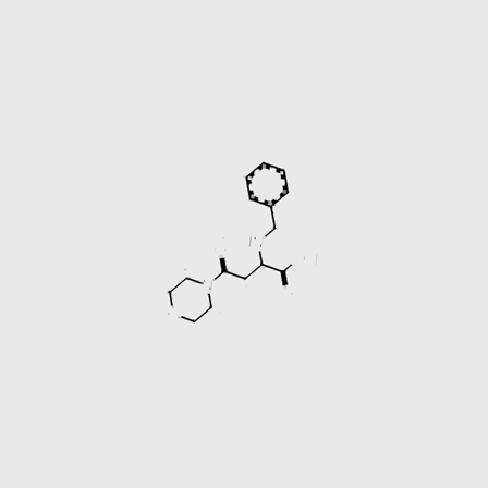 O=C(O)C(CC(=O)N1CCOCC1)NCc1ccccc1